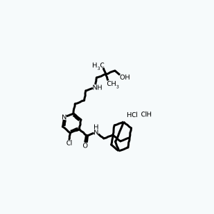 CC(C)(CO)CNCCCc1cc(C(=O)NCC23CC4CC(CC(C4)C2)C3)c(Cl)cn1.Cl.Cl